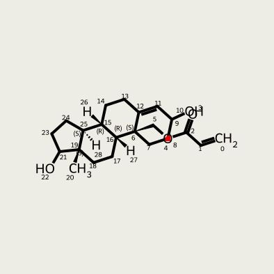 C=CC(=O)OC[C@]12CCC(O)C=C1CC[C@@H]1[C@H]2CC[C@]2(C)C(O)CC[C@@H]12